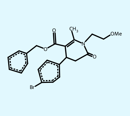 COCCN1C(=O)CC(c2ccc(Br)cc2)C(C(=O)OCc2ccccc2)=C1C